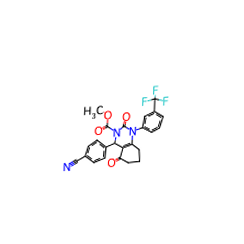 COC(=O)N1C(=O)N(c2cccc(C(F)(F)F)c2)C2=C(C(=O)CCC2)C1c1ccc(C#N)cc1